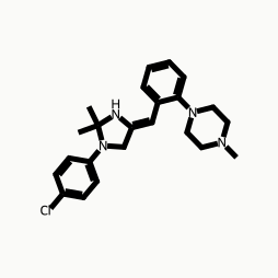 CN1CCN(c2ccccc2C=C2CN(c3ccc(Cl)cc3)C(C)(C)N2)CC1